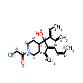 C=C/C(=C\C)C(O)(/C(C=C)=C/C=C\C)C1CCN(C(=O)CCl)CC1